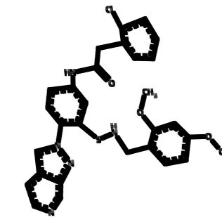 COc1ccc(CNSc2cc(NC(=O)Cc3ccccc3Cl)ccc2-n2cc3ccncc3n2)c(OC)c1